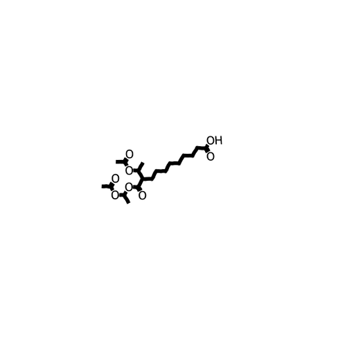 CC(=O)OC(C)OC(=O)C(CCCCCCCCC(=O)O)C(C)OC(C)=O